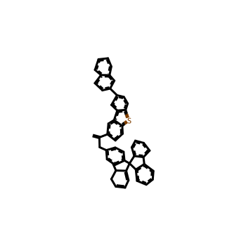 C=C(Cc1ccc(C2(C3=CC=CCC3C)c3ccccc3-c3ccccc32)cc1)c1ccc2sc3ccc(-c4ccc5ccccc5c4)cc3c2c1